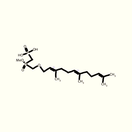 COP(=O)(COC/C=C(\C)CC/C=C(\C)CCC=C(C)C)CP(=O)(O)O